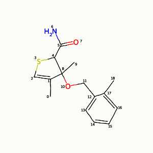 CC1=CSC(C(N)=O)C1(C)OCc1ccccc1C